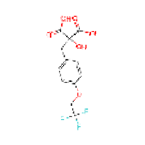 O=C(O)C(O)(Cc1ccc(OCC(F)(F)F)cc1)C(=O)O